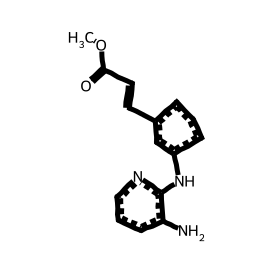 COC(=O)/C=C/c1cccc(Nc2ncccc2N)c1